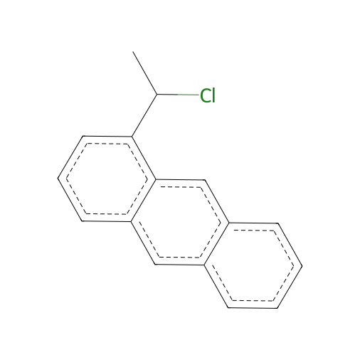 CC(Cl)c1cccc2cc3ccccc3cc12